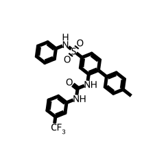 Cc1ccc(-c2ccc(S(=O)(=O)Nc3ccccc3)cc2NC(=O)Nc2cccc(C(F)(F)F)c2)cc1